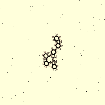 c1ccc2c(c1)nc1c3nc4cc(-c5ccc6oc7ccccc7c6c5)ccc4n3c3ccccc3c3ccccc3n21